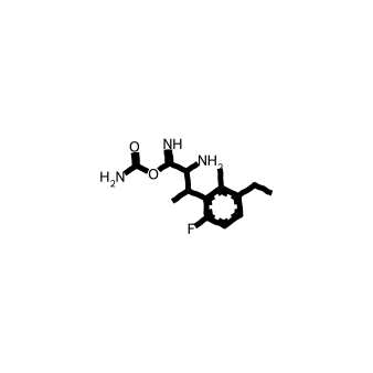 CCc1ccc(F)c(C(C)C(N)C(=N)OC(N)=O)c1C